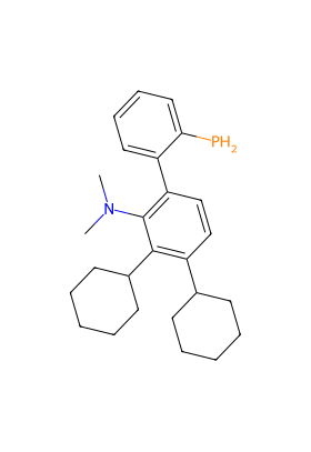 CN(C)c1c(-c2ccccc2P)ccc(C2CCCCC2)c1C1CCCCC1